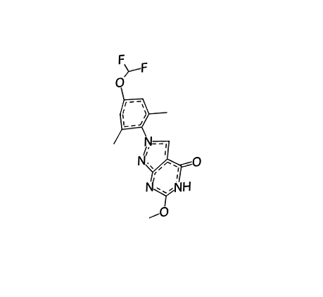 COc1nc2nn(-c3c(C)cc(OC(F)F)cc3C)cc2c(=O)[nH]1